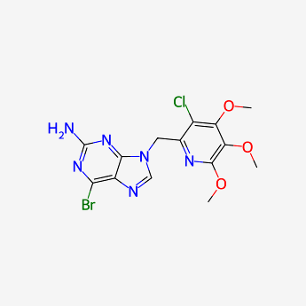 COc1nc(Cn2cnc3c(Br)nc(N)nc32)c(Cl)c(OC)c1OC